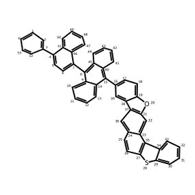 c1ccc(-c2ccc(-c3c4ccccc4c(-c4ccc5oc6cc7c(ccc8sc9ccccc9c87)cc6c5c4)c4ccccc34)c3ccccc23)cc1